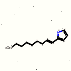 CCCCCCCCCCCCCCC=CC1=CC=C[N]1